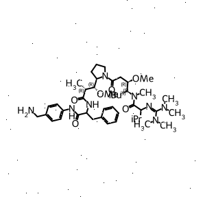 CC[C@H](C)[C@@H]([C@@H](CC(=O)N1CCCC1[C@H](OC)[C@@H](C)C(=O)NC(Cc1ccccc1)C(=O)Nc1ccc(CN)cc1)OC)N(C)C(=O)C(N=C(N(C)C)N(C)C)C(C)C